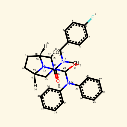 CN(Cc1ccc(F)cc1)C(=O)N1[C@H]2CC[C@@H]1[C@@H](C(=O)O)N(C(O)N(c1ccccc1)c1ccccc1)C2